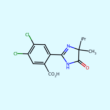 CC(C)C1(C)N=C(c2cc(Cl)c(Cl)cc2C(=O)O)NC1=O